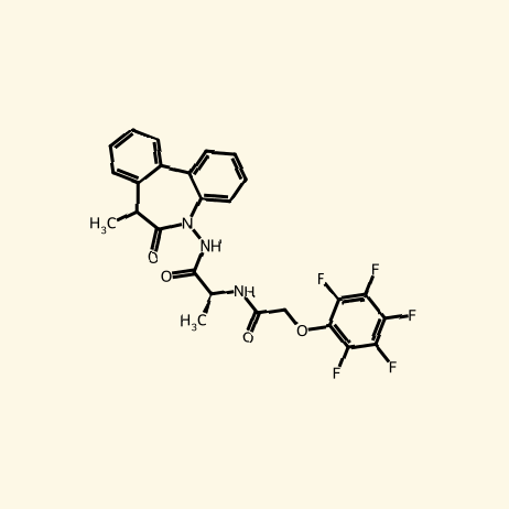 CC1C(=O)N(NC(=O)[C@H](C)NC(=O)COc2c(F)c(F)c(F)c(F)c2F)c2ccccc2-c2ccccc21